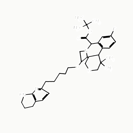 CC(C)(C)OC(=O)C(c1cc(F)ccc1C1CCOCC1(C)C)N1CC(OCCCCCc2ccc3c(n2)NCCC3)C1